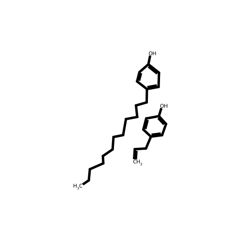 C=CCc1ccc(O)cc1.CCCCCCCCCCCCc1ccc(O)cc1